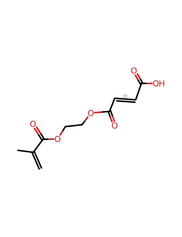 C=C(C)C(=O)OCCOC(=O)/C=C/C(=O)O